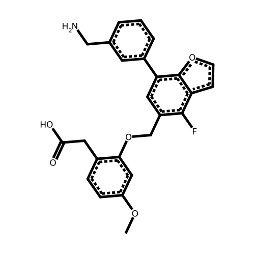 COc1ccc(CC(=O)O)c(OCc2cc(-c3cccc(CN)c3)c3occc3c2F)c1